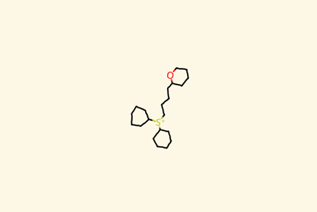 C1CCC([S+](CCCCC2CCCCO2)C2CCCCC2)CC1